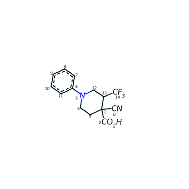 N#CC1(C(=O)O)CCN(c2ccccc2)CC1C(F)(F)F